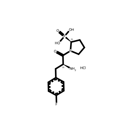 Cl.N[C@@H](Cc1ccc(F)cc1)C(=O)N1CCC[C@@H]1P(=O)(O)O